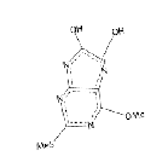 COc1nc(SC)nc2nc(O)c(O)nc12